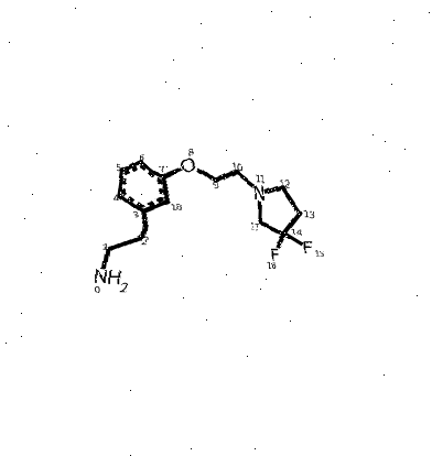 NCCc1cccc(OCCN2CCC(F)(F)C2)c1